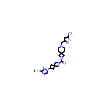 O=C(N1CC2(CCN(Cc3cc(C(F)(F)F)sn3)CC2)C1)N1CC2(CC(n3cnc(C(F)(F)F)n3)C2)C1